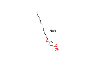 CCCCCCCCCCCCCCCCOc1ccc(C(=O)CO)cc1.[NaH]